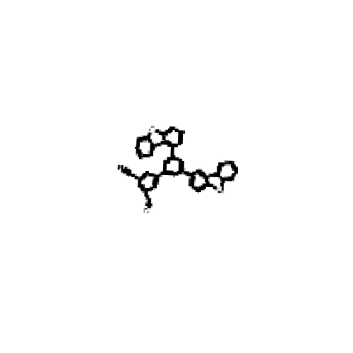 N#Cc1cc(C#N)cc(-c2cc(-c3ccc4oc5ccccc5c4c3)cc(-c3cccc4oc5ccccc5c34)c2)c1